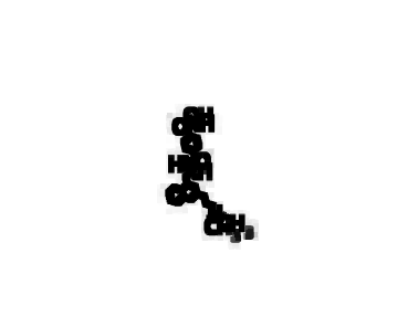 CCN(CC)CCCc1cc(CNNC(=O)c2ccc(C(=O)NO)cc2)c2ccccc2c1